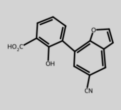 N#Cc1cc(-c2cccc(C(=O)O)c2O)c2occc2c1